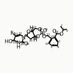 CC(C)OC(=O)c1ccccc1COP1(=O)OC[C@H]2O[C@@H](N3C=C(F)C(O)NC3=O)C[C@@H]2O1